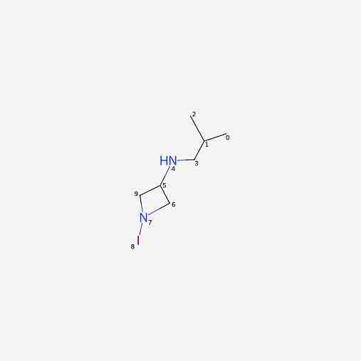 CC(C)CNC1CN(I)C1